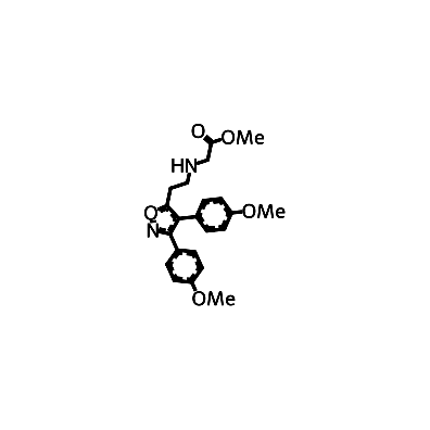 COC(=O)CNCCc1onc(-c2ccc(OC)cc2)c1-c1ccc(OC)cc1